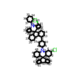 Clc1ccc2c(c1)N(c1ccc(-c3cccc4c3-c3ccccc3C43c4ccccc4N(c4ccccc4)c4c(Cl)cccc43)cc1)c1ccccc1C21c2ccccc2-c2ccccc21